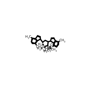 Cc1ccc(C)c2c1C=CC2CCC(C1C=Cc2c(C)ccc(C)c21)C([Si](C)(C)C)[Si](C)(C)C.[Y]